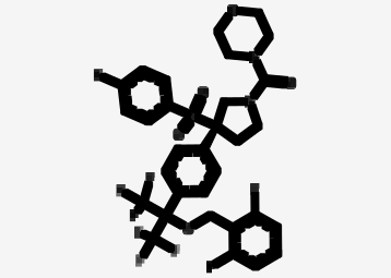 O=C(N1CCOCC1)N1CC[C@](c2ccc(C(OCc3c(F)cccc3F)(C(F)(F)F)C(F)(F)F)cc2)(S(=O)(=O)c2ccc(F)cc2)C1